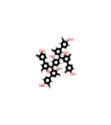 Cc1cc(-c2cc(C)c(O)c(C(c3ccc(C(c4cc(-c5ccc(O)c(C)c5)cc(C)c4O)c4cc(-c5ccc(O)c(C)c5)cc(C)c4O)cc3)c3cc(-c4ccc(O)c(C)c4)cc(C)c3O)c2)ccc1O